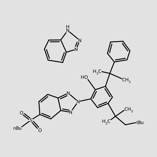 CCCCS(=O)(=O)c1ccc2nn(-c3cc(C(C)(C)CC(C)(C)C)cc(C(C)(C)c4ccccc4)c3O)nc2c1.c1ccc2[nH]nnc2c1